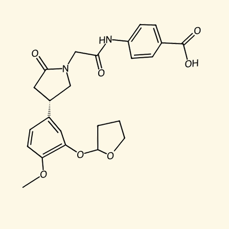 COc1ccc([C@@H]2CC(=O)N(CC(=O)Nc3ccc(C(=O)O)cc3)C2)cc1OC1CCCO1